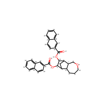 O=C(OC1C2CC(C3COCCCC32)C1OC(=O)c1ccc2ccccc2c1)c1ccc2ccccc2c1